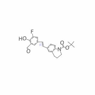 CC(C)(C)OC(=O)N1CCCc2cc(/C=C/c3cc(F)c(O)c(C=O)c3)ccc21